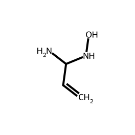 C=CC(N)NO